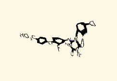 CCn1c(=O)[nH]/c(=N\c2ccc(Oc3ccc(C(=O)O)cc3)c(F)c2)n(CC2C=CC(Cl)=CC2)c1=O